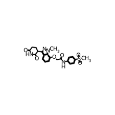 Cn1nc(C2CCC(=O)NC2=O)c2cccc(OCC(=O)Nc3ccc(S(C)(=O)=O)cc3)c21